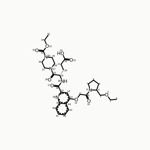 CCOCC1CCCN1C(=O)COc1cc(C(=O)N[C@@H](CCC(=O)O)C(=O)N2CCN(C(=O)OCC)CC2)nc2ccccc12